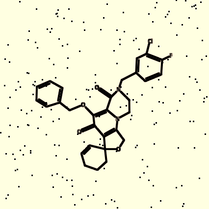 O=C1c2c(OCc3ccccc3)c(=O)c3c(n2CCN1Cc1ccc(F)c(Cl)c1)COC31C=CCCC1